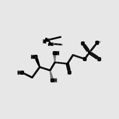 CC(C)=O.CC(C)=O.O=C(COS(=O)(=O)[O-])[C@@H](O)[C@H](O)[C@H](O)CO.[K+]